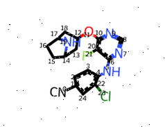 [C-]#[N+]c1ccc(Nc2ncnc(OC3CC4CCC(C3)N4)c2F)c(Cl)c1